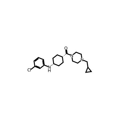 O=C([C@H]1CC[C@@H](Nc2cccc(Cl)c2)CC1)N1CCN(CC2CC2)CC1